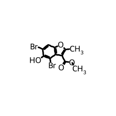 COC(=O)c1c(C)oc2cc(Br)c(O)c(Br)c12